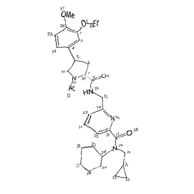 CCOc1cc(C2C[C@H](C(=O)NCc3cccc(C(=O)N(CC4CC4)C4CCCCC4)n3)N(C(C)=O)C2)ccc1OC